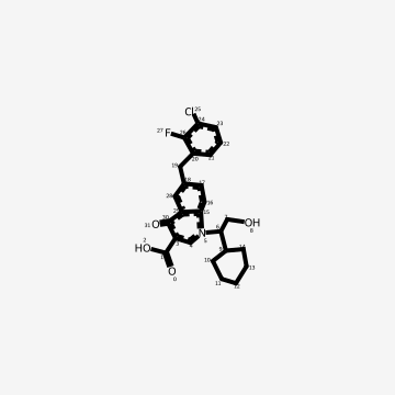 O=C(O)c1cn(C(CO)C2CCCCC2)c2ccc(Cc3cccc(Cl)c3F)cc2c1=O